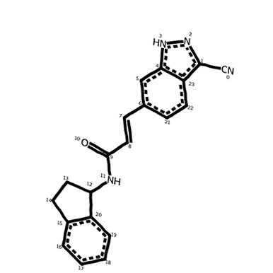 N#Cc1n[nH]c2cc(/C=C/C(=O)NC3CCc4ccccc43)ccc12